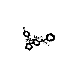 COC(c1ccccc1)(c1ccc(C2(S(=O)(=O)c3ccc(F)cc3)CCCC2)cc1)C(F)(F)F